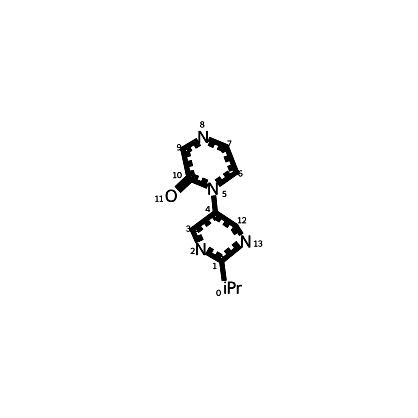 CC(C)c1ncc(-n2ccncc2=O)cn1